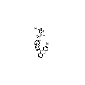 CCc1cc(NC(=O)C[N+]23CCC(CC2)[C@@H](OC(=O)C2c4ccccc4Cc4ccccc42)C3)no1.[Br-]